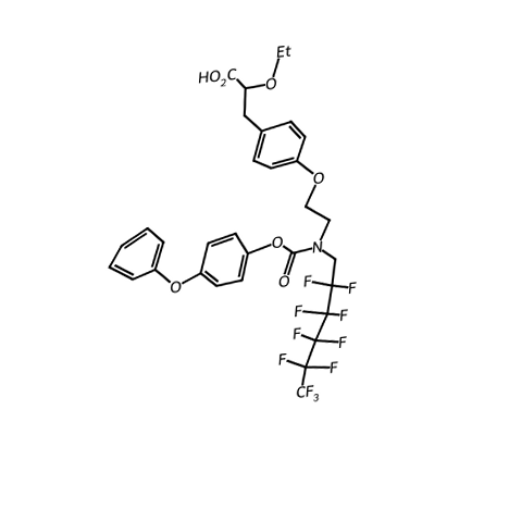 CCOC(Cc1ccc(OCCN(CC(F)(F)C(F)(F)C(F)(F)C(F)(F)C(F)(F)F)C(=O)Oc2ccc(Oc3ccccc3)cc2)cc1)C(=O)O